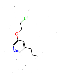 CCCc1cncc(OCCCl)c1